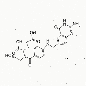 C#CCN(C(=O)c1ccc(NCc2ccc3nc(N)[nH]c(=O)c3c2)cc1)[C@@H](CCC(=O)O)C(=O)O